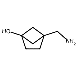 NCC12CCC(O)(C1)C2